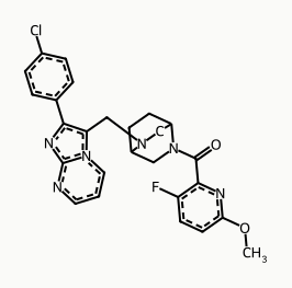 COc1ccc(F)c(C(=O)N2CC3CCC2CN3Cc2c(-c3ccc(Cl)cc3)nc3ncccn23)n1